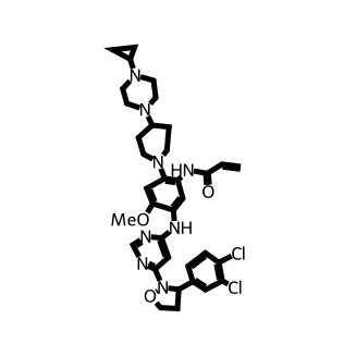 C=CC(=O)Nc1cc(Nc2cc(N3OCCC3c3ccc(Cl)c(Cl)c3)ncn2)c(OC)cc1N1CCC(N2CCN(C3CC3)CC2)CC1